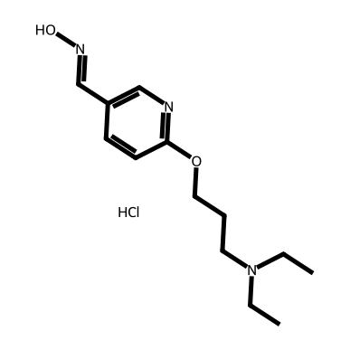 CCN(CC)CCCOc1ccc(C=NO)cn1.Cl